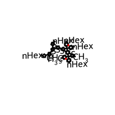 CCCCCCC1=CC=C(c2cc(-c3cc(-c4ccc(CCCCCC)s4)c(-c4ccc(-c5cc6c(s5)-c5cc7c(cc5C6(c5ccc(CCCCCC)cc5)c5ccc(CCCCCC)cc5)-c5sc(C)cc5C7(c5ccc(C)cc5)c5ccc(CCCCCC)cc5)s4)s3)sc2C)C1